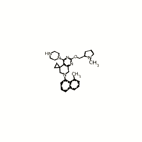 Cc1cccc2cccc(N3Cc4nc(OCC5CCCN5C)nc(N5CCNCC5)c4C4(CC4)C3)c12